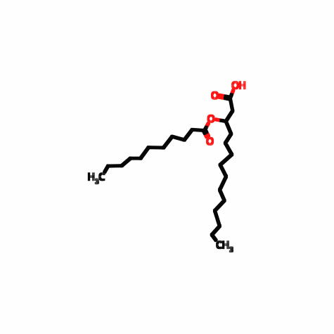 CCCCCCCCCCCC(CC(=O)O)OC(=O)CCCCCCCCCC